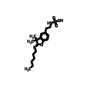 CCCCCCN=C1Oc2ccc(CCNS(=O)(=O)O)cc2C1(C)C